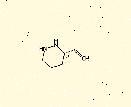 C=C[C@@H]1CCCNN1